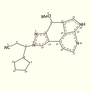 COC1c2nn(C(CC#N)C3CCCC3)cc2-c2ccnc3[nH]cc1c23